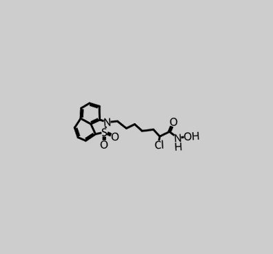 O=C(NO)C(Cl)CCCCCN1c2cccc3cccc(c23)S1(=O)=O